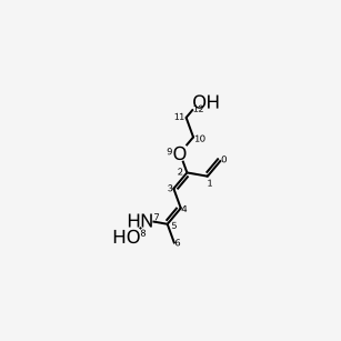 C=C/C(=C\C=C(\C)NO)OCCO